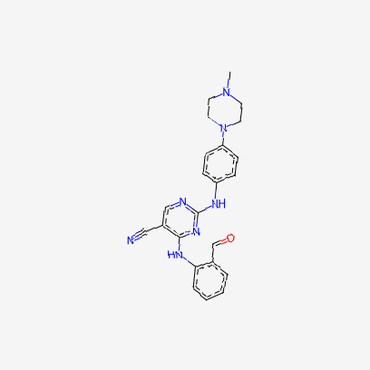 CN1CCN(c2ccc(Nc3ncc(C#N)c(Nc4ccccc4C=O)n3)cc2)CC1